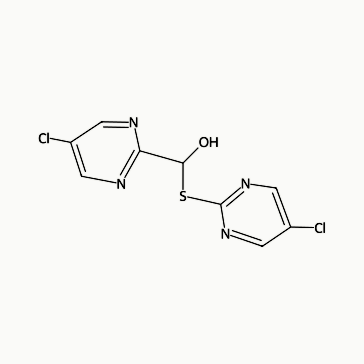 OC(Sc1ncc(Cl)cn1)c1ncc(Cl)cn1